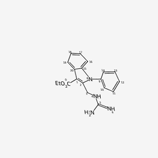 CCOC(=O)c1c(CNC(=N)N)n(-c2ccccc2)c2ccccc12